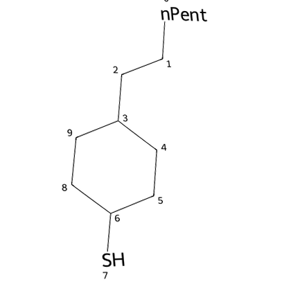 CCCCCCCC1CCC(S)CC1